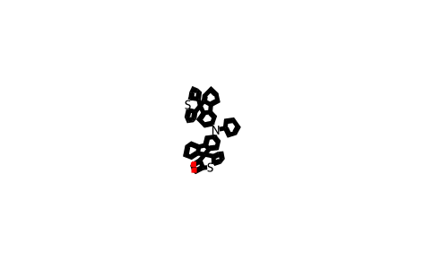 c1ccc(N(c2ccc3c(c2)-c2ccccc2C32c3ccccc3Sc3ccccc32)c2ccc3c(c2)-c2ccccc2C32c3ccccc3Sc3ccccc32)cc1